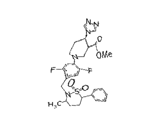 COC(=O)C1CN(c2cc(F)c(CN3C(C)CCC(c4ccccc4)S3(=O)=O)cc2F)CC[C@H]1n1cnnc1